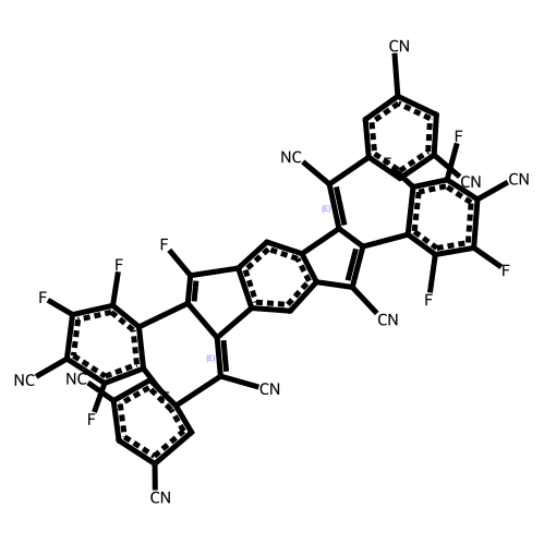 N#CC1=C(c2c(F)c(F)c(C#N)c(F)c2F)/C(=C(/C#N)c2cc(C#N)cc(C#N)c2)c2cc3c(cc21)/C(=C(\C#N)c1cc(C#N)cc(C#N)c1)C(c1c(F)c(F)c(C#N)c(F)c1F)=C3F